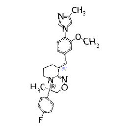 COc1cc(/C=C2\CCCN3C2=NOC[C@@]3(C)c2ccc(F)cc2)ccc1-n1cnc(C)c1